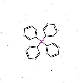 c1ccc([I+](c2ccccc2)(c2ccccc2)c2ccccc2)cc1